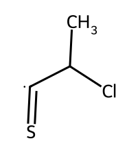 CC(Cl)[C]=S